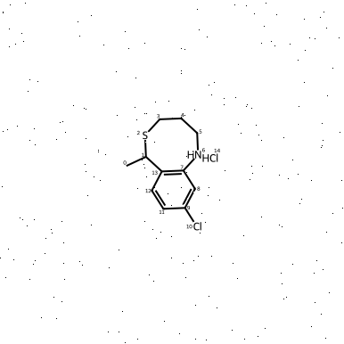 CC1SCCCNc2cc(Cl)ccc21.Cl